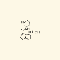 C[C@@H](NC1CCCNC1)c1cccc2ccccc12.Cl.Cl